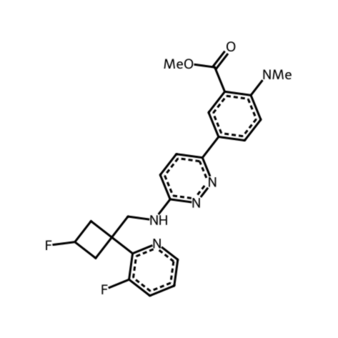 CNc1ccc(-c2ccc(NCC3(c4ncccc4F)CC(F)C3)nn2)cc1C(=O)OC